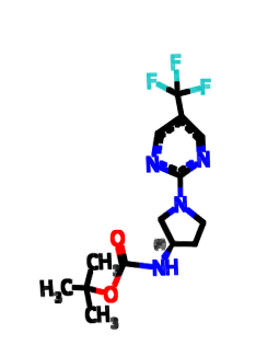 CC(C)(C)OC(=O)N[C@@H]1CCN(c2ncc(C(F)(F)F)cn2)C1